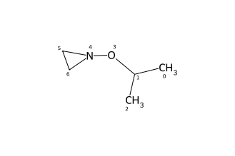 CC(C)ON1CC1